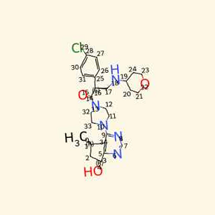 C[C@@H]1C[C@@H](O)c2ncnc(N3CCN(C(=O)[C@H](CNC4CCOCC4)c4ccc(Cl)cc4)CC3)c21